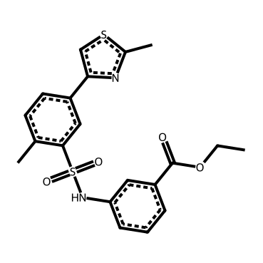 CCOC(=O)c1cccc(NS(=O)(=O)c2cc(-c3csc(C)n3)ccc2C)c1